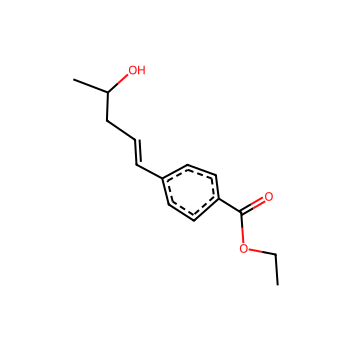 CCOC(=O)c1ccc(C=CCC(C)O)cc1